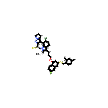 Cc1ccc(CSc2cc(OCCCc3c(C(=O)O)n(C)c4c(-c5c(CS)nn6c5CCC6)c(Cl)ccc34)c3ccc(F)cc3c2)c(C)c1